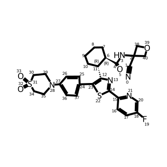 N#CC1(NC(=O)[C@@H]2CCCC[C@H]2c2nc(-c3ccc(F)cn3)sc2-c2ccc(N3CCS(=O)(=O)CC3)cc2)COC1